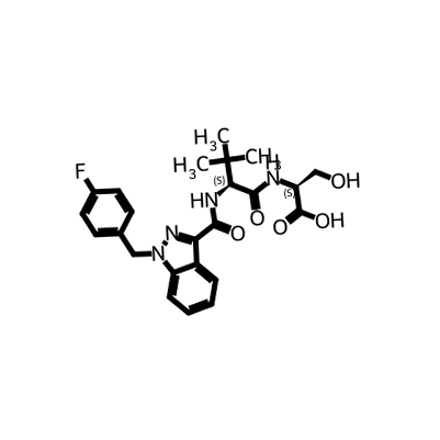 CC(C)(C)[C@H](NC(=O)c1nn(Cc2ccc(F)cc2)c2ccccc12)C(=O)N[C@@H](CO)C(=O)O